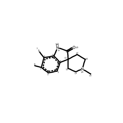 Cc1ccc2c(c1I)NC(=O)C21CCN(C)CC1